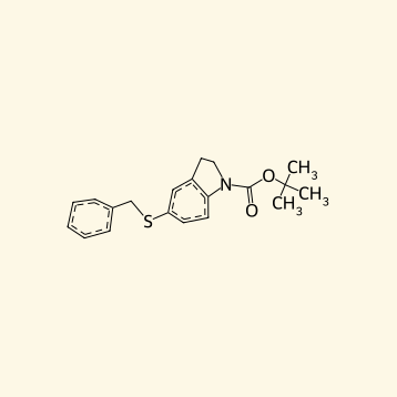 CC(C)(C)OC(=O)N1CCc2cc(SCc3ccccc3)ccc21